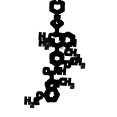 C=C(C1CN(C2CCOCC2)C1)N1C=CN=C(C)/C1=C(/N)c1ccc(NC(=O)c2cc3c(OC)cccc3n2C)c(OC)c1